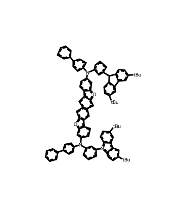 CC(C)(C)c1ccc2c(c1)-c1cc(C(C)(C)C)ccc1C2c1cccc(N(c2ccc(-c3ccccc3)cc2)c2ccc3c(c2)oc2cc4cc5c(cc4cc23)oc2cc(N(c3ccc(-c4ccccc4)cc3)c3cccc(-n4c6ccc(C(C)(C)C)cc6c6cc(C(C)(C)C)ccc64)c3)ccc25)c1